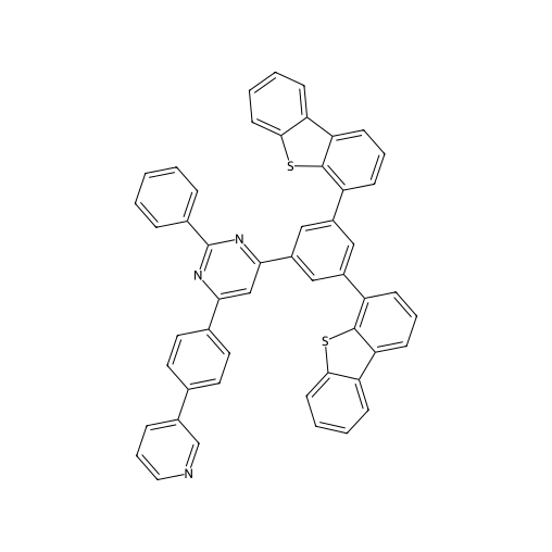 c1ccc(-c2nc(-c3ccc(-c4cccnc4)cc3)cc(-c3cc(-c4cccc5c4sc4ccccc45)cc(-c4cccc5c4sc4ccccc45)c3)n2)cc1